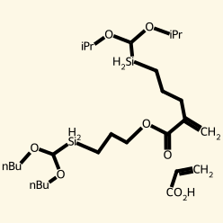 C=C(CCC[SiH2]C(OC(C)C)OC(C)C)C(=O)OCCC[SiH2]C(OCCCC)OCCCC.C=CC(=O)O